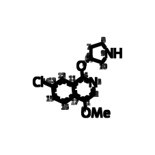 COc1cnc(O[C@@H]2CCNC2)c2cc(Cl)ccc12